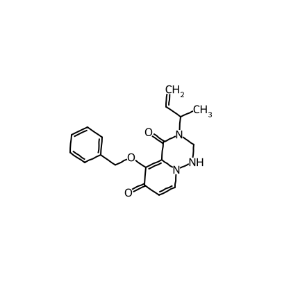 C=CC(C)N1CNn2ccc(=O)c(OCc3ccccc3)c2C1=O